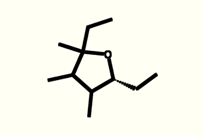 CC[C@H]1OC(C)(CC)C(C)C1C